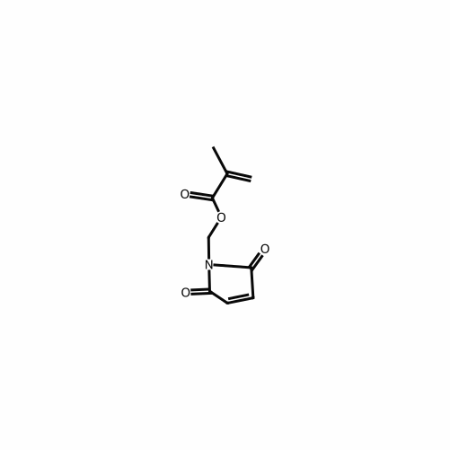 C=C(C)C(=O)OCN1C(=O)C=CC1=O